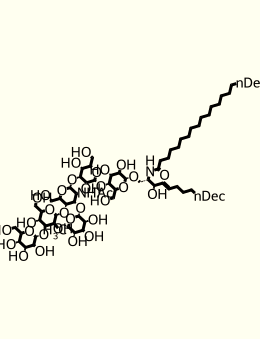 CCCCCCCCCCCCC/C=C/[C@@H](O)[C@H](CO[C@@H]1OC(CO)[C@@H](O[C@@H]2OC(CO)[C@H](O)[C@H](O[C@@H]3OC(CO)[C@@H](O[C@@H]4OC(CO)[C@H](O)[C@H](O[C@H]5OC(CO)[C@H](O)[C@H](O)C5O)C4O)[C@H](O[C@H]4OC(C)[C@@H](O)C(O)[C@@H]4O)C3NC(C)=O)C2O)[C@H](O)C1O)NC(=O)CCCCCCCCCCCCCCCCCCCCCCCCC